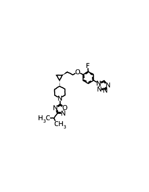 CC(C)c1noc(N2CCC([C@@H]3C[C@H]3CCOc3ccc(-n4cnnn4)cc3F)CC2)n1